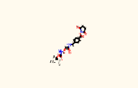 CC(C)(C)OC(=O)NOCC(=O)NCc1ccc(C(=O)ON2C(=O)CCC2=O)cc1